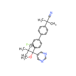 COC(c1cncnc1)(c1ccc(-c2ccc(C(C)(C)C#N)cc2)cc1F)C(C)(C)C